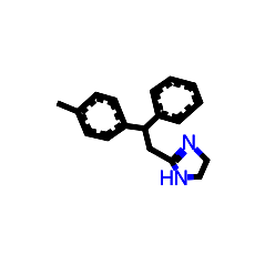 Cc1ccc(C(CC2=NCCN2)c2ccccc2)cc1